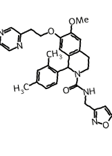 COc1cc2c(cc1OCCc1cnccn1)C(c1ccc(C)cc1C)N(C(=O)NCc1ccon1)CC2